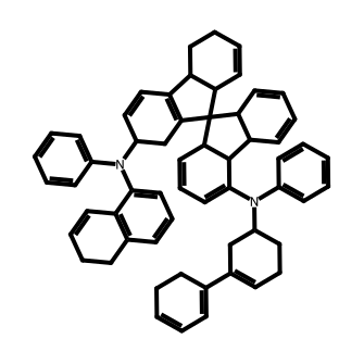 C1=CCCC(C2=CCCC(N(C3=CC=CC4C3C3C=CC=CC3C43C4=C(C=CC(N(c5ccccc5)c5cccc6c5C=CCC6)C4)C4CCC=CC43)c3ccccc3)C2)=C1